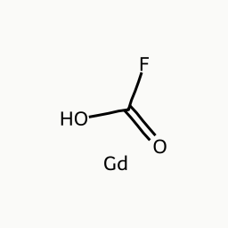 O=C(O)F.[Gd]